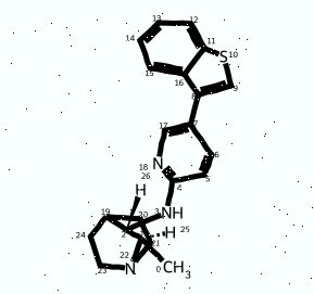 C[C@@H]1[C@@H](Nc2ccc(-c3csc4ccccc34)cn2)C2CCN1CC2